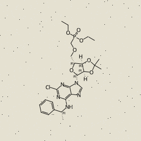 CCOP(=O)(COC[C@H]1O[C@@H](n2cnc3c(N[C@H](C)c4ccccc4)nc(Cl)nc32)[C@@H]2OC(C)(C)O[C@@H]21)OCC